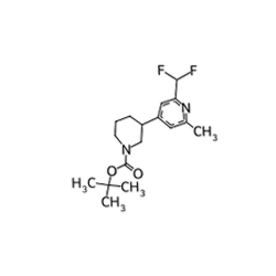 Cc1cc(C2CCCN(C(=O)OC(C)(C)C)C2)cc(C(F)F)n1